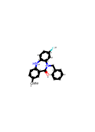 COc1ccc2c(c1)C(=O)N(Cc1ccccc1)c1cc(F)ccc1N2